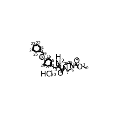 CCOC(=O)N1CCN(C(=O)[C@@H](N)Cc2ccc(OCc3ccccc3)cc2)CC1.Cl